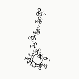 COC1C=CC=C(C)C(=O)NC2=CC(=O)C(NCCCNC(=O)CCCN3C(=O)CC(SC[C@H]4CCN5CC[C@H](CSC[C@H]6CCN7CC[C@H](CO[Si](c8ccccc8)(c8ccccc8)C(C)(C)C)N=C7N6)N=C5N4)C3=O)=C(CC(C)CC(OC)C(O)C(C)C=C(C)C1OC(N)=O)C2=O